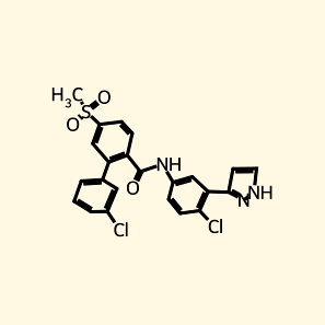 CS(=O)(=O)c1ccc(C(=O)Nc2ccc(Cl)c(-c3cc[nH]n3)c2)c(-c2cccc(Cl)c2)c1